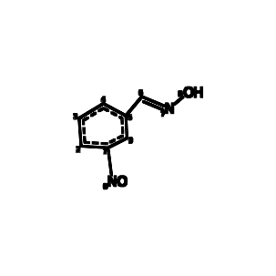 O=Nc1cccc(C=NO)c1